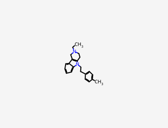 CCN1CCc2c(c3ccccc3n2CCc2ccc(C)cc2)C1